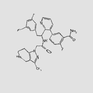 NC(=O)c1cc(-c2cccnc2C(Cc2cc(F)cc(F)c2)NC(=O)Cn2nc(C(F)(F)F)c3c2CCNC3)ccc1F